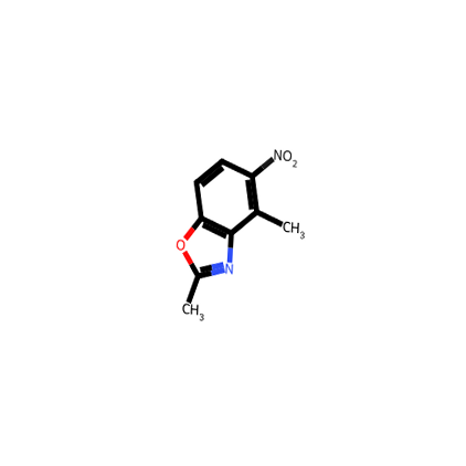 Cc1nc2c(C)c([N+](=O)[O-])ccc2o1